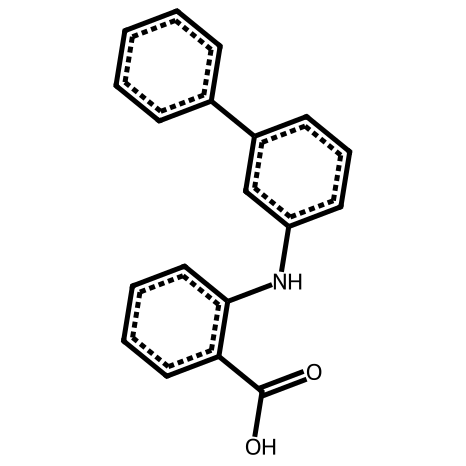 O=C(O)c1ccccc1Nc1cccc(-c2ccccc2)c1